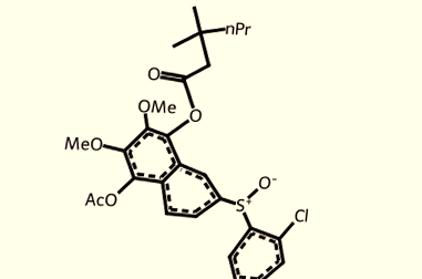 CCCC(C)(C)CC(=O)Oc1c(OC)c(OC)c(OC(C)=O)c2ccc([S+]([O-])c3ccccc3Cl)cc12